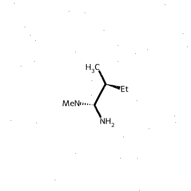 CC[C@H](C)[C@H](N)NC